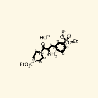 CCOC(=O)N1CCN(C(=O)C(N)Cc2cccc(P(=O)(OCC)OCC)c2)CC1.Cl